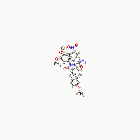 COc1ccc(CCC(=O)N(c2ccc(OC)c(OC)c2)C(C(N)=O)(c2ccc([N+](=O)[O-])cc2)C2CCCCC2)cc1